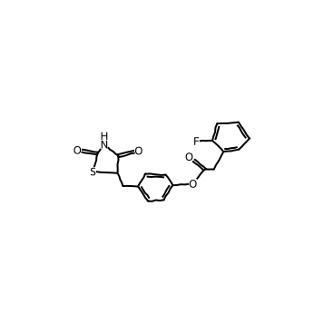 O=C(Cc1ccccc1F)Oc1ccc(CC2SC(=O)NC2=O)cc1